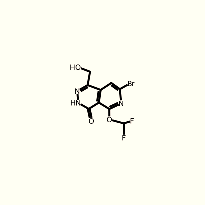 O=c1[nH]nc(CO)c2cc(Br)nc(OC(F)F)c12